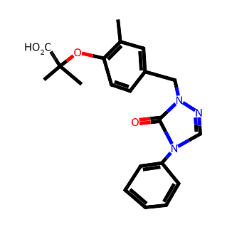 Cc1cc(Cn2ncn(-c3ccccc3)c2=O)ccc1OC(C)(C)C(=O)O